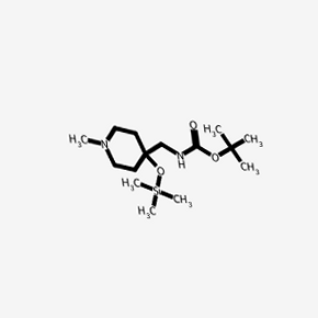 CN1CCC(CNC(=O)OC(C)(C)C)(O[Si](C)(C)C)CC1